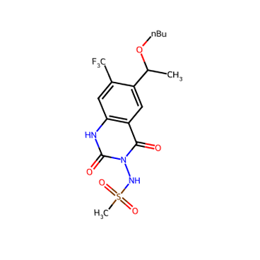 CCCCOC(C)c1cc2c(=O)n(NS(C)(=O)=O)c(=O)[nH]c2cc1C(F)(F)F